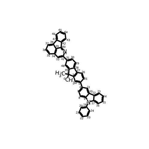 CC1(C)c2cc(-c3ccc4c(c3)c3ccccc3n4-c3ccccc3)ccc2-c2ccc(-c3cc4cccc5c4c(n3)-c3ccccc3-5)cc21